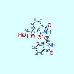 O=C1NC(=O)c2c1cccc2C(O)CO.O=C1NC(=O)c2ccccc21